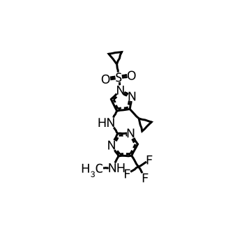 CNc1nc(Nc2cn(S(=O)(=O)C3CC3)nc2C2CC2)ncc1C(F)(F)F